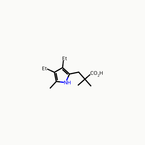 CCc1c(C)[nH]c(CC(C)(C)C(=O)O)c1CC